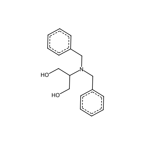 OCC(CO)N(Cc1ccccc1)Cc1ccccc1